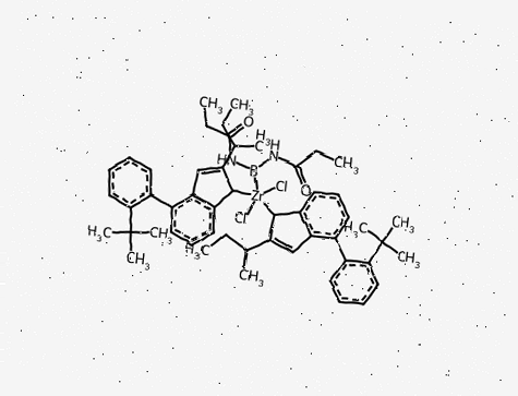 CCC(=O)N[B](NC(=O)CC)[Zr]([Cl])([Cl])([CH]1C(C(C)CC)=Cc2c(-c3ccccc3C(C)(C)C)cccc21)[CH]1C(C(C)CC)=Cc2c(-c3ccccc3C(C)(C)C)cccc21